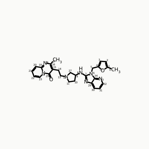 Cc1ccc(Cn2c(NC3CCN(CCc4c(C)nc5ccccn5c4=O)C3)nc3cccnc32)o1